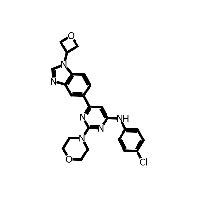 Clc1ccc(Nc2cc(-c3ccc4c(c3)ncn4C3COC3)nc(N3CCOCC3)n2)cc1